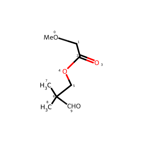 COCC(=O)OCC(C)(C)C=O